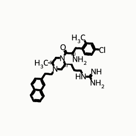 Cc1cc(Cl)ccc1C[C@@H](N)C(=O)N1C[C@@H](C)N(CCc2ccc3ccccc3c2)C[C@@H]1CCCNC(=N)N